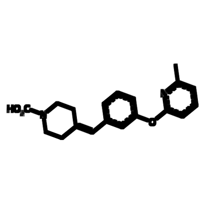 Cc1cccc(Oc2cccc(C=C3CCN(C(=O)O)CC3)c2)n1